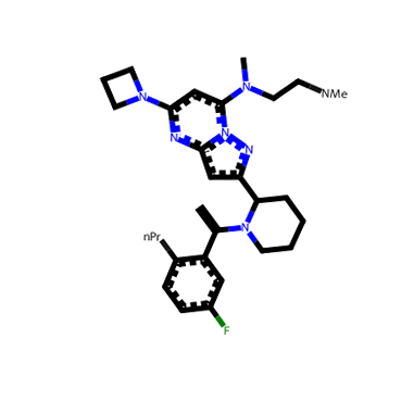 C=C(c1cc(F)ccc1CCC)N1CCCCC1c1cc2nc(N3CCC3)cc(N(C)CCNC)n2n1